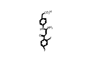 NC(=CC(=O)c1ccc(F)cc1F)Nc1ccc(CC(=O)O)cc1